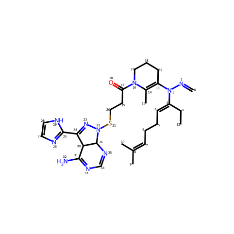 C=NN(C(=CCCC=C(C)C)CC)C1=C(C)N(C(=O)CCSN2N=C(c3ncc[nH]3)C3C(N)=NC=NC32)CCC1